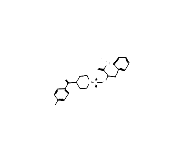 O=C(c1ccc(Cl)cc1)C1CCN(S(=O)(=O)NC(Cc2ccccc2)C(=S)NO)CC1